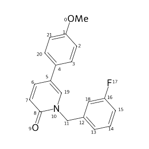 COc1ccc(-c2ccc(=O)n(Cc3cccc(F)c3)c2)cc1